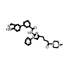 CN1CCN(C(=O)CCCc2cn(-c3ccccc3)c(NC(=O)c3cccc(-c4ccc5[nH]ncc5c4)c3)n2)CC1